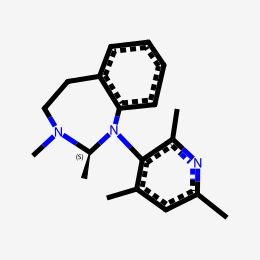 Cc1cc(C)c(N2c3ccccc3CCN(C)[C@@H]2C)c(C)n1